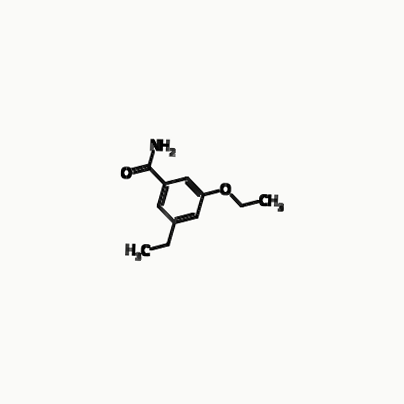 CCOc1cc(CC)cc(C(N)=O)c1